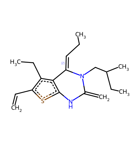 C=Cc1sc2c(c1CC)/C(=C/CC)N(CC(C)CC)C(=C)N2